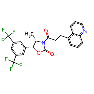 C[C@H]1[C@@H](c2cc(C(F)(F)F)cc(C(F)(F)F)c2)OC(=O)N1C(=O)CCc1cccc2ncccc12